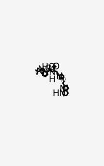 CC(C)n1ncc2c(C(=O)NC(CCN3CC[C@@H](CCc4ccc5c(n4)NCCC5)C3)C(=O)O)cccc21